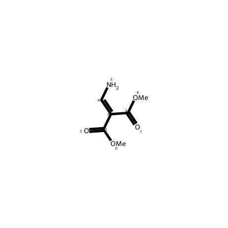 COC(=O)C(=CN)C(=O)OC